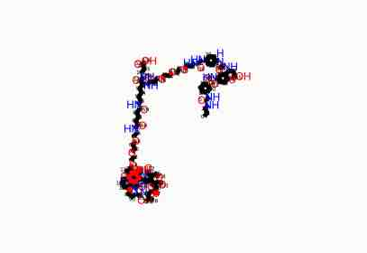 CCCNC(=O)Nc1cccc(S(=O)(=O)Nc2cccc(C(CC(=O)O)NC(=O)Nc3ccc(NC(=O)NCCOCCOCCOCCC(=O)NC(CCCCNC(=O)CCCC(=O)NCCOCCOCCOCCC(=O)NC(CC(=O)O)C(=O)N4CCCC4C(O)NC(C(=O)OC4(CC)C(=O)OCc5c4cc4n(c5=O)Cc5c-4nc4ccccc4c5CC)C(C)C)C(=O)NCCC(=O)O)cc3)c2)c1